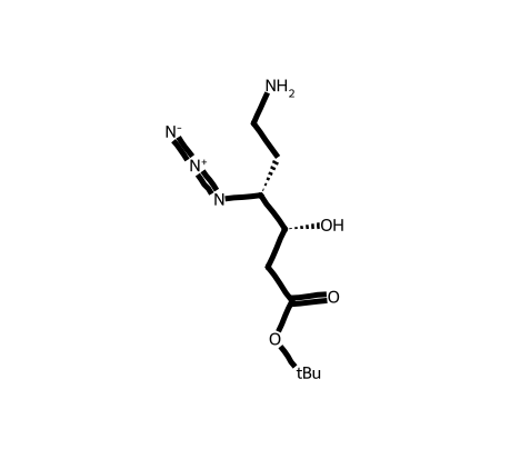 CC(C)(C)OC(=O)C[C@@H](O)[C@@H](CCN)N=[N+]=[N-]